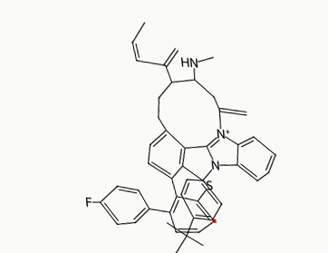 C=C(/C=C\C)C1CCc2ccc3c(sc4cccc(-c5ccc(F)cc5)c43)c2-c2n(-c3ccc(C(C)(C)C)cc3)c3ccccc3[n+]2C(=C)CC1NC